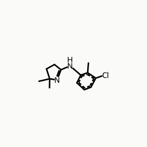 Cc1c(Cl)cccc1NC1=NC(C)(C)CC1